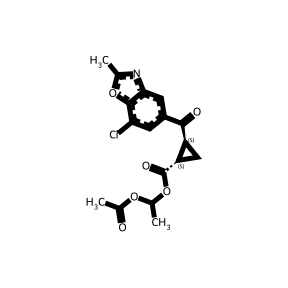 CC(=O)OC(C)OC(=O)[C@H]1C[C@@H]1C(=O)c1cc(Cl)c2oc(C)nc2c1